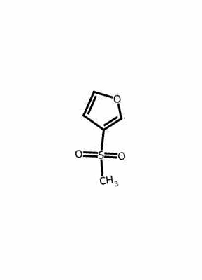 CS(=O)(=O)c1[c]occ1